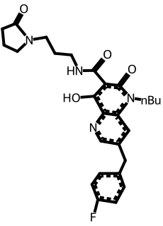 CCCCn1c(=O)c(C(=O)NCCCN2CCCC2=O)c(O)c2ncc(Cc3ccc(F)cc3)cc21